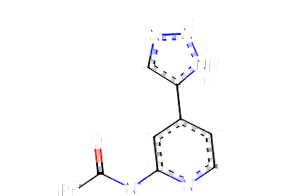 CC(C)C(=O)Nc1cc(-c2cnn[nH]2)ccn1